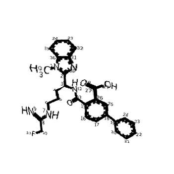 Cn1c([C@H](CCCNC(=N)CF)NC(=O)c2ccc(-c3ccccc3)cc2C(=O)O)nc2ccccc21